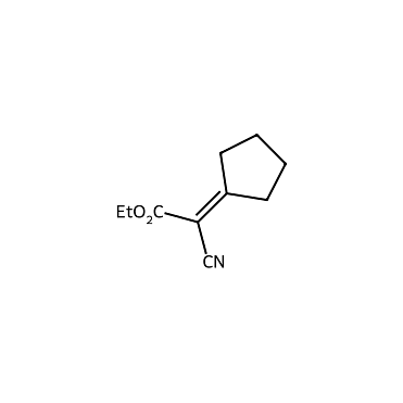 CCOC(=O)C(C#N)=C1CCCC1